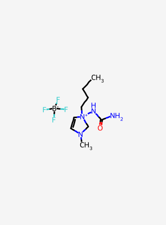 CCCC[N+]1(NC(N)=O)C=CN(C)C1.F[B-](F)(F)F